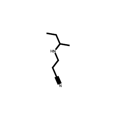 CCC(C)NCCC#N